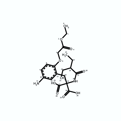 CCOC(=O)COc1ccc(N)cc1CC(NC(=O)C(CC)CC)(C(=O)O)C(=O)O